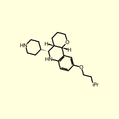 CC(C)CCOc1ccc2c(c1)[C@H]1OCCC[C@H]1[C@@H](C1CCNCC1)N2